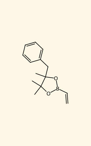 C=CB1OC(C)(C)C(C)(Cc2ccccc2)O1